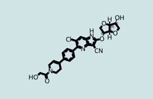 N#Cc1c(O[C@@H]2CO[C@H]3[C@@H]2OC[C@H]3O)[nH]c2cc(Cl)c(-c3ccc(C4=CCN(C(=O)CO)CC4)cc3)nc12